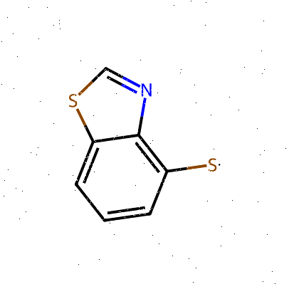 [S]c1cccc2scnc12